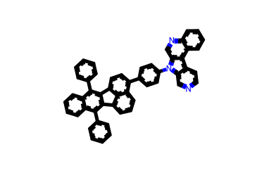 c1ccc(-c2c3c(c(-c4ccccc4)c4ccccc24)-c2ccc(-c4ccc(-n5c6cnccc6c6c7ccccc7ncc65)cc4)c4cccc-3c24)cc1